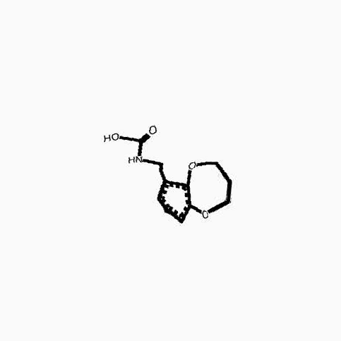 O=C(O)NCc1cccc2c1OCCCO2